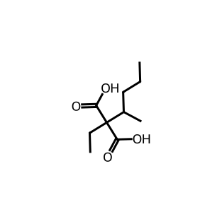 CCCC(C)C(CC)(C(=O)O)C(=O)O